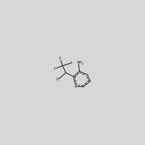 Nc1nccnc1C(Cl)C(F)(F)F